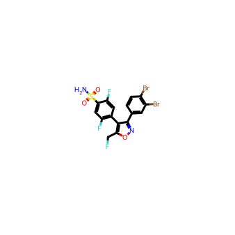 NS(=O)(=O)c1cc(F)c(-c2c(-c3ccc(Br)c(Br)c3)noc2CF)cc1F